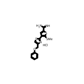 CSc1sc(C(=N)N)cc1-c1nc(COc2ccccc2)cs1.Cl